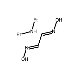 CCNCC.O/N=C/C=N/O